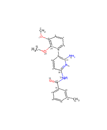 COc1cccc(-c2ccc(NC(=O)c3cccc(C)c3)nc2N)c1OC